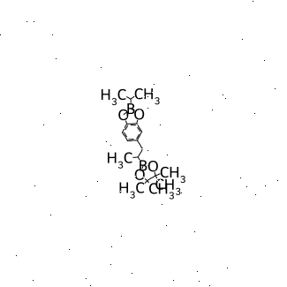 CC(C)B1Oc2ccc(CC(C)B3OC(C)(C)C(C)(C)O3)cc2O1